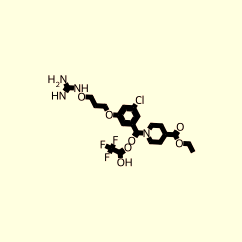 CCOC(=O)C1CCN(C(=O)c2cc(Cl)cc(OCCCONC(=N)N)c2)CC1.O=C(O)C(F)(F)F